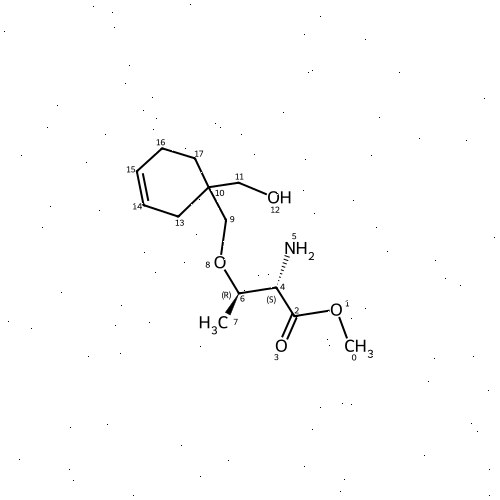 COC(=O)[C@@H](N)[C@@H](C)OCC1(CO)CC=CCC1